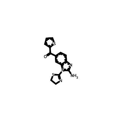 Nc1nc2ccc(C(=O)c3cccs3)cc2n1C1=NCCS1